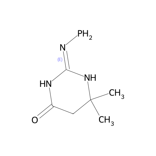 CC1(C)CC(=O)N/C(=N/P)N1